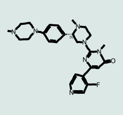 CN1CCN(c2ccc([C@H]3CN(c4nc(-c5ccncc5F)cc(=O)n4C)CCN3C)cc2)CC1